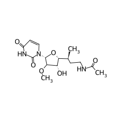 COC1[C@@H](O)[C@@H]([C@@H](C)CCNC(C)=O)O[C@H]1n1ccc(=O)[nH]c1=O